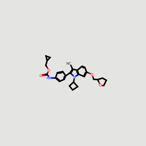 N#Cc1c(-c2ccc(NC(=O)OCC3CC3)cc2)n(C2CCC2)c2cc(OCC3CCCO3)ccc12